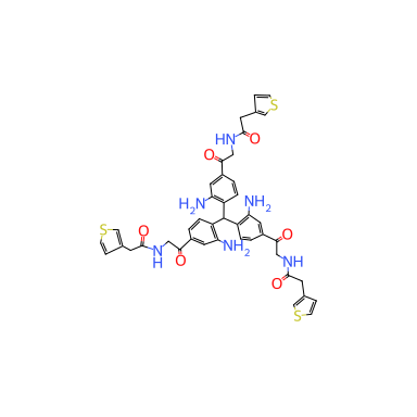 Nc1cc(C(=O)CNC(=O)Cc2ccsc2)ccc1C(c1ccc(C(=O)CNC(=O)Cc2ccsc2)cc1N)c1ccc(C(=O)CNC(=O)Cc2ccsc2)cc1N